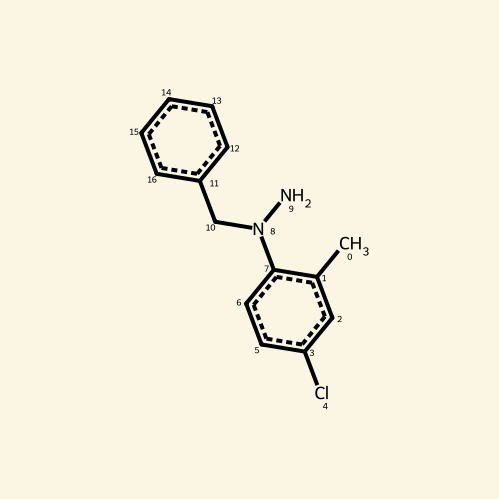 Cc1cc(Cl)ccc1N(N)Cc1ccccc1